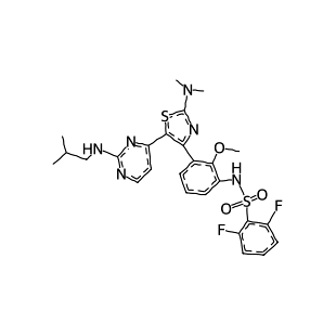 COc1c(NS(=O)(=O)c2c(F)cccc2F)cccc1-c1nc(N(C)C)sc1-c1ccnc(NCC(C)C)n1